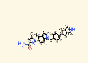 Cc1cc(C(N)=O)nn1-c1ccc2c(ccn2Cc2ccc(C3=CC4CNCC4C3)cc2)c1